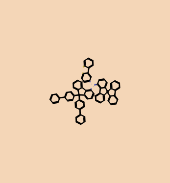 c1ccc(-c2ccc(C3(c4ccc(-c5ccccc5)cc4)c4ccccc4-c4c(N(c5ccc6sc7ccccc7c6c5)c5cccc6c5-c5ccccc5C65c6ccccc6-c6ccccc65)cccc43)cc2)cc1